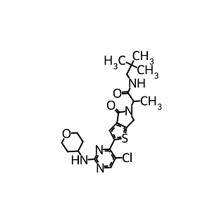 CC(C(=O)NCC(C)(C)C)N1Cc2sc(-c3nc(NC4CCOCC4)ncc3Cl)cc2C1=O